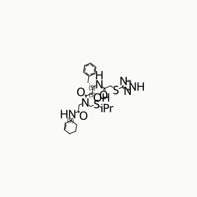 CC(C)SCN(CC(=O)N[C@@H]1C=CCCC1)C(=O)[C@@H](O)[C@H](Cc1ccccc1)NC(=O)CSc1nc[nH]n1